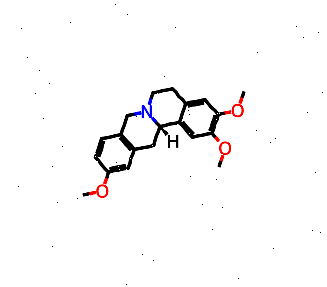 COc1ccc2c(c1)C[C@H]1c3cc(OC)c(OC)cc3CCN1C2